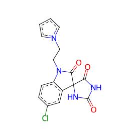 O=C1NC(=O)C2(N1)C(=O)N(CCn1cccc1)c1ccc(Cl)cc12